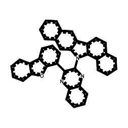 c1ccc2cc3c(cc2c1)c1ccc2ccccc2c1n3-c1nc2ccccc2nc1-c1cccc2c1oc1ccccc12